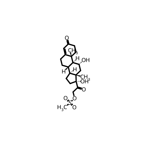 C[C@]12CCC(=O)C=C1CC[C@@H]1[C@@H]2[C@H](O)C[C@@]2(C)[C@H]1CC[C@]2(O)C(=O)COS(C)(=O)=O